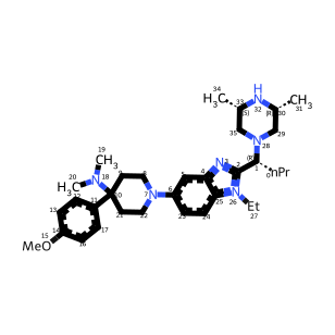 CCC[C@H](c1nc2cc(N3CCC(c4ccc(OC)cc4)(N(C)C)CC3)ccc2n1CC)N1C[C@@H](C)N[C@@H](C)C1